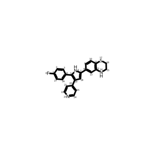 Fc1ccc(-c2[nH]c(-c3ccc4c(c3)NCCS4)cc2-c2ccncc2)cc1